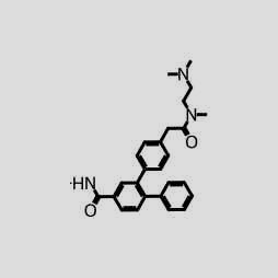 CN(C)CCN(C)C(=O)Cc1ccc(-c2cc(C([NH])=O)ccc2-c2ccccc2)cc1